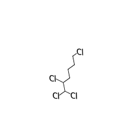 ClCCCCC(Cl)C(Cl)Cl